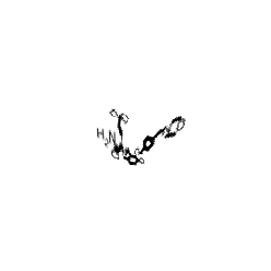 COC(=O)CC[C@@H](C(N)=O)N1C=C2C=CC(=O)C(OCc3ccc(CN4CCOCC4)cc3)=C2C1